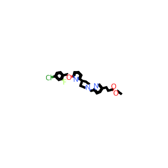 CCOC(=O)CCc1ccc(CN2CCC(c3cccc(OCc4ccc(Cl)cc4F)n3)CC2)nc1